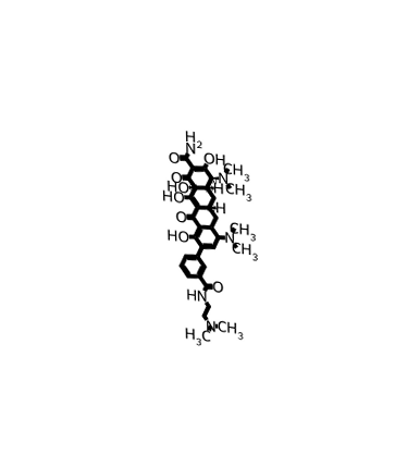 CN(C)CCNC(=O)c1cccc(C2=CC(N(C)C)C3C[C@H]4C[C@H]5[C@H](N(C)C)C(O)=C(C(N)=O)C(=O)[C@@]5(O)C(O)=C4C(=O)C3=C2O)c1